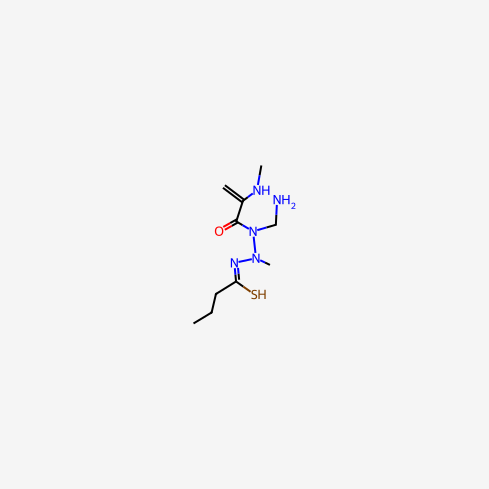 C=C(NC)C(=O)N(CN)N(C)/N=C(\S)CCC